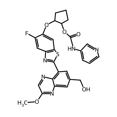 COc1cnc2c(-c3nc4cc(F)c(OC5CCCC5OC(=O)Nc5cccnc5)cc4s3)cc(CO)cc2n1